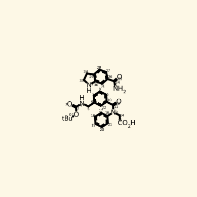 CC(C)(C)OC(=O)NCc1cccc(C(=O)N(CC(=O)O)c2ccccc2)c1.NC(=O)c1ccc2c(c1)NCC2